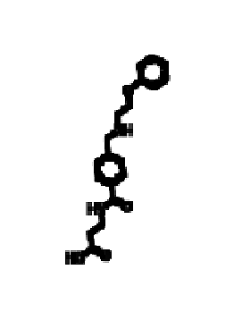 O=C(O)CCNC(=O)c1ccc(CNCCOc2ccccc2)cc1